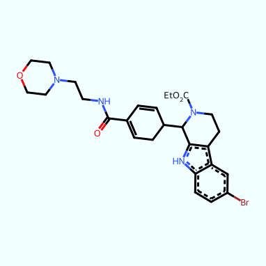 CCOC(=O)N1CCc2c([nH]c3ccc(Br)cc23)C1C1C=CC(C(=O)NCCN2CCOCC2)=CC1